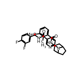 COc1cccc(C(=O)NC2CC3CCC(C2)N3c2ccc(C(=O)NCc3ccc(F)c(F)c3)cn2)c1C